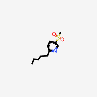 CCCCCc1ccc(S(C)(=O)=O)cn1